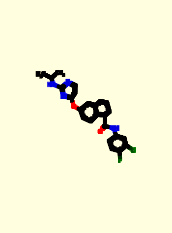 CC(C)Nc1nccc(Oc2ccc3c(C(=O)Nc4ccc(F)c(Cl)c4)cccc3c2)n1